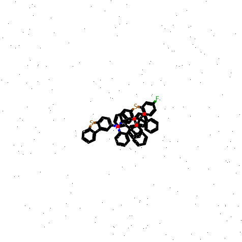 Fc1ccc2c(c1)Sc1ccc(N(c3ccc4sc5ccccc5c4c3)c3ccccc3C3(c4ccccc4)c4ccccc4-c4ccccc43)cc1C2(c1ccccc1)c1ccccc1